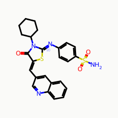 NS(=O)(=O)c1ccc(/N=C2\SC(=Cc3cnc4ccccc4c3)C(=O)N2C2CCCCC2)cc1